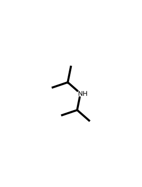 C[C](C)NC(C)C